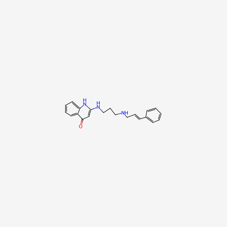 O=c1cc(NCCCNCC=Cc2ccccc2)[nH]c2ccccc12